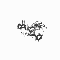 Cn1cc(-c2ccccc2)nc1[C@@H](Cc1c[nH]c2ccccc12)NC(=O)OC(C)(C)C